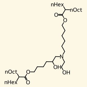 CCCCCCCCC(CCCCCC)C(=O)OCCCCCCN(CCO)CC(O)CCCCOC(=O)C(CCCCCC)CCCCCCCC